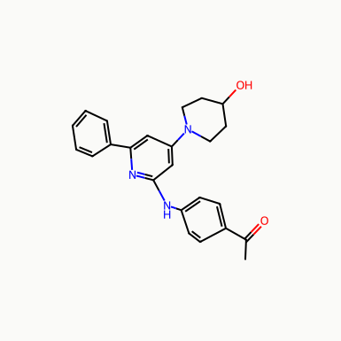 CC(=O)c1ccc(Nc2cc(N3CCC(O)CC3)cc(-c3ccccc3)n2)cc1